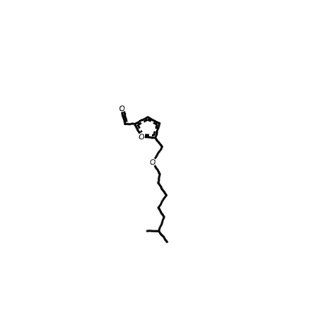 CC(C)CCCCCOCc1ccc(C=O)o1